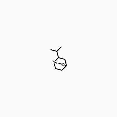 CC(C)C1CC2CCN1CC2